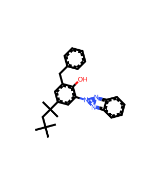 CC(C)(C)CC(C)(C)c1cc(Cc2ccccc2)c(O)c(-n2n3c4ccccc4n23)c1